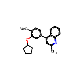 COc1ccc(-c2cc(C)nc3ccccc23)cc1OC1CCCC1